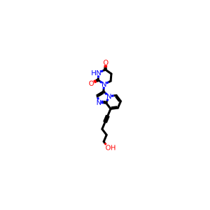 O=C1CCN(c2cnc3c(C#CCCCO)cccn23)C(=O)N1